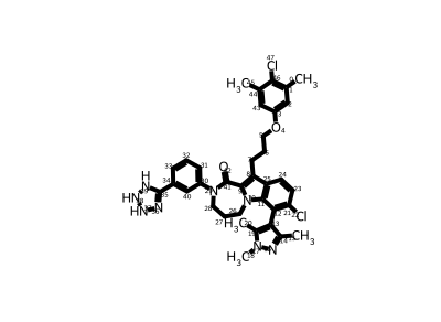 Cc1cc(OCCCc2c3n(c4c(-c5c(C)nn(C)c5C)c(Cl)ccc24)CCCN(c2cccc(C4=NNNN4)c2)C3=O)cc(C)c1Cl